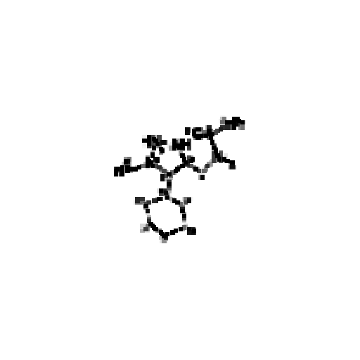 CCCC(=O)N(C)CC1NNN(CCC)C1C1CCCCC1